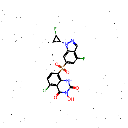 O=c1[nH]c2c(S(=O)(=O)c3cc(F)c4cnn([C@@H]5C[C@H]5F)c4c3)ccc(Cl)c2c(=O)n1O